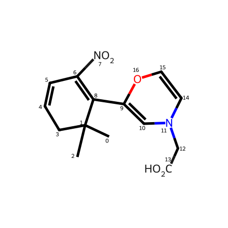 CC1(C)CC=CC([N+](=O)[O-])=C1C1=CN(CC(=O)O)C=CO1